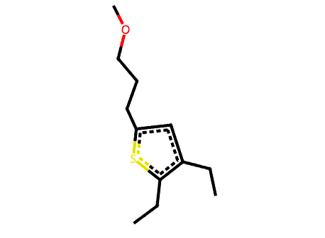 CCc1cc(CCCOC)sc1CC